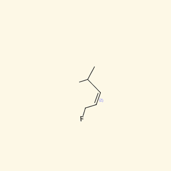 CC(C)/C=C\CF